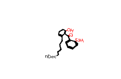 CCCCCCCCCCCCCCCc1cccc(O)c1C(=O)c1ccccc1O